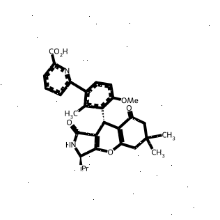 COc1ccc(-c2cccc(C(=O)O)n2)c(C)c1[C@@H]1C2=C(CC(C)(C)CC2=O)OC2=C1C(=O)N[C@@H]2C(C)C